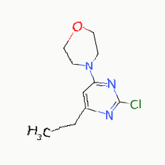 CCCc1cc(N2CCOCC2)nc(Cl)n1